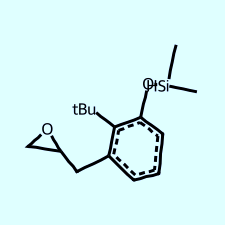 C[SiH](C)Oc1cccc(CC2CO2)c1C(C)(C)C